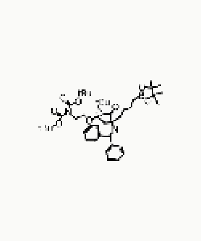 CC(C)(C)OC(=O)N(CCOCCC(CCCCB1OC(C)(C)C(C)(C)O1)(N=C(c1ccccc1)c1ccccc1)C(=O)OC(C)(C)C)C(=O)OC(C)(C)C